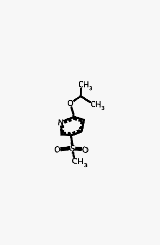 CC(C)Oc1ccc(S(C)(=O)=O)cn1